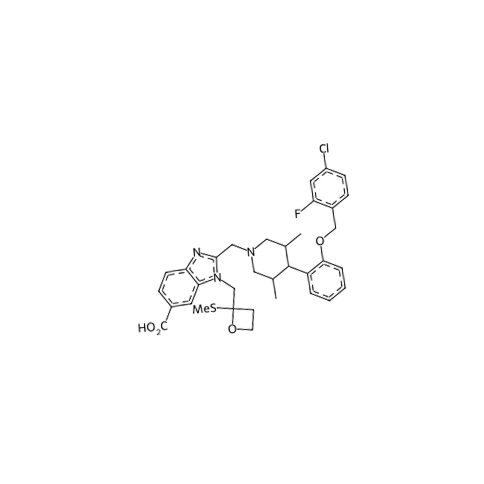 CSC1(Cn2c(CN3CC(C)C(c4ccccc4OCc4ccc(Cl)cc4F)C(C)C3)nc3ccc(C(=O)O)cc32)CCO1